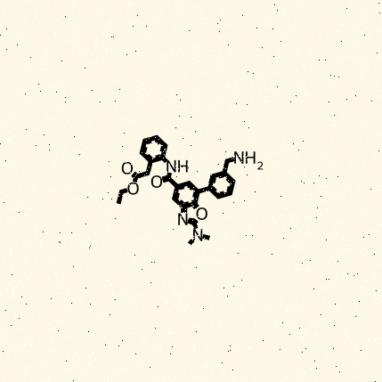 CCOC(=O)Cc1ccccc1NC(=O)c1cc(-c2cccc(CN)c2)c2oc(N(C)C)nc2c1